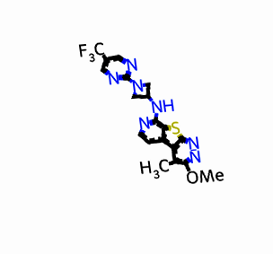 COc1nnc2sc3c(NC4CN(c5ncc(C(F)(F)F)cn5)C4)nccc3c2c1C